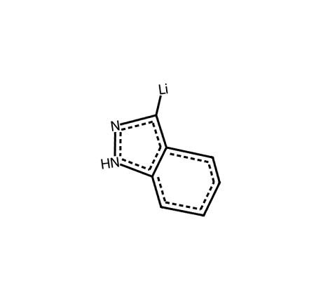 [Li][c]1n[nH]c2ccccc12